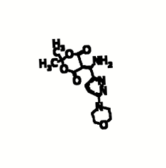 CC1(C)OC(=O)C(=C(N)c2ccc(N3CCOCC3)nn2)C(=O)O1